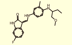 CCC(COC)Nc1ccc(NC=C2C(=O)Nc3cc(F)ccc32)cc1C